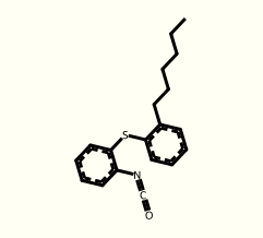 CCCCCCc1ccccc1Sc1ccccc1N=C=O